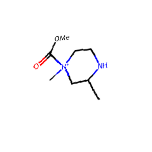 COC(=O)[N+]1(C)CCNC(C)C1